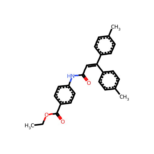 CCOC(=O)c1ccc(NC(=O)C=C(c2ccc(C)cc2)c2ccc(C)cc2)cc1